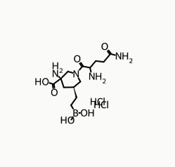 Cl.Cl.NC(=O)CCC(N)C(=O)N1C[C@@H](CCB(O)O)C[C@](N)(C(=O)O)C1